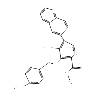 COc1ccc(COc2c(C(=O)ON=O)ncc(-c3ccc4ncccc4c3)c2C)cc1